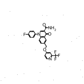 NC(=O)c1cn(-c2ccc(F)cc2)c2ccc(COc3ccnc(C(F)(F)F)c3)cc2c1=O